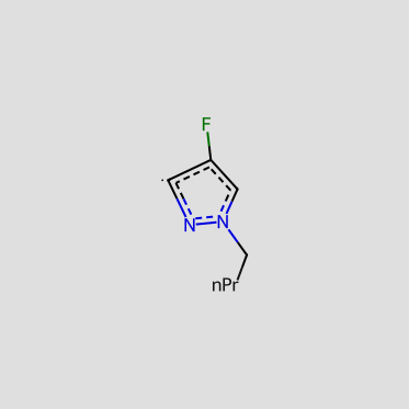 CCCCn1cc(F)[c]n1